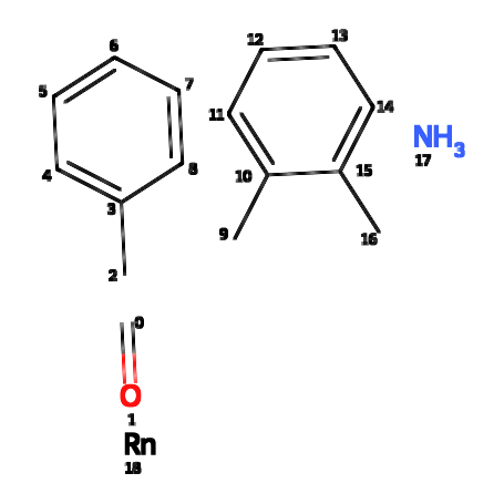 C=O.Cc1ccccc1.Cc1ccccc1C.N.[Rn]